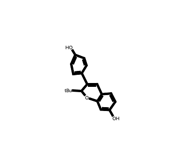 CC(C)(C)C1Oc2cc(O)ccc2C=C1c1ccc(O)cc1